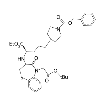 CCOC(=O)[C@@H](CCCC1CCN(C(=O)OCc2ccccc2)CC1)NC1CSc2ccccc2N(CC(=O)OC(C)(C)C)C1=O